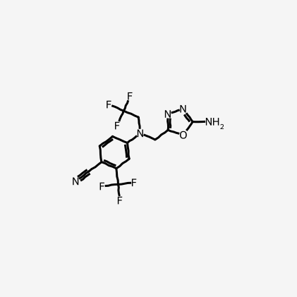 N#Cc1ccc(N(Cc2nnc(N)o2)CC(F)(F)F)cc1C(F)(F)F